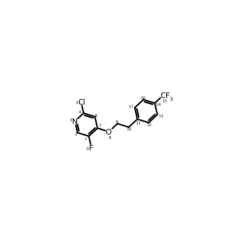 Fc1cnc(Cl)cc1OCCc1ccc(C(F)(F)F)cc1